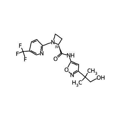 CC(C)(CO)c1cc(NC(=O)[C@@H]2CCN2c2ccc(C(F)(F)F)cn2)on1